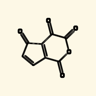 O=c1ccc2c(=O)oc(=O)c(=O)c1=2